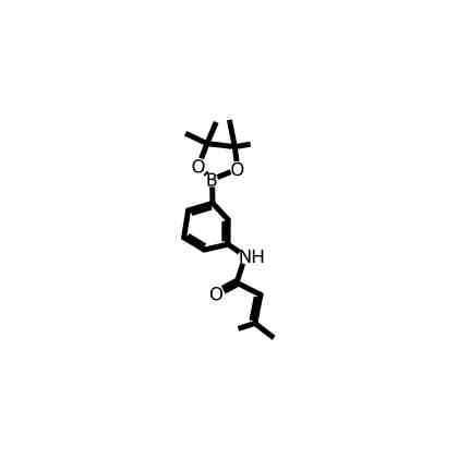 CC(C)=CC(=O)Nc1cccc(B2OC(C)(C)C(C)(C)O2)c1